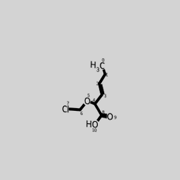 CCC=CC(OCCl)C(=O)O